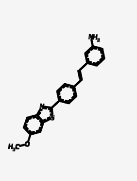 COc1ccc2nc(-c3ccc(/C=C/c4cccc(N)c4)cc3)sc2c1